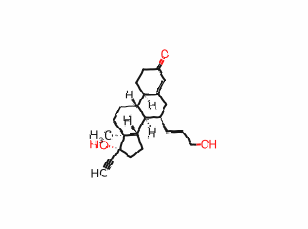 C#C[C@]1(O)CC[C@H]2[C@@H]3[C@H](CCCO)CC4=CC(=O)CC[C@@H]4[C@H]3CC[C@@]21C